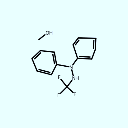 CO.FC(F)(F)NN(c1ccccc1)c1ccccc1